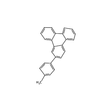 Cc1ccc(-c2ccc3c4ccccc4c4ccccc4c3c2)cc1